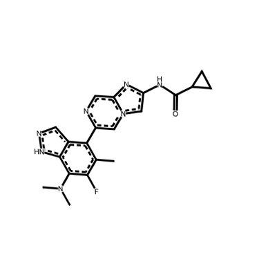 Cc1c(F)c(N(C)C)c2[nH]ncc2c1-c1cn2cc(NC(=O)C3CC3)nc2cn1